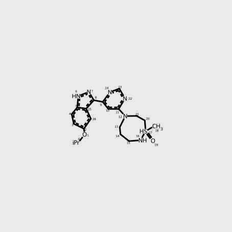 CC(C)Oc1ccc2[nH]nc(-c3cc(N4CCCN[SH](C)(=O)CC4)ncn3)c2c1